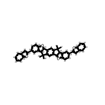 CC1(C)c2cc3c(cc2-c2oc4ccc(-c5cc6ccccc6o5)cc4c21)C(C)(C)c1c-3oc2ccc(-c3cc4ccccc4o3)cc12